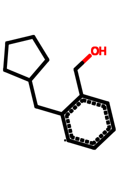 OCc1ccc[c]c1CC1CCCC1